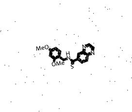 COc1ccc(CNC(=S)c2ccc3nccnc3c2)c(OC)c1